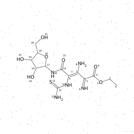 CCOC(=O)C(=N)/C(N)=C(\NC(N)=S)C(=O)NC1OC(CO)C(O)C1O